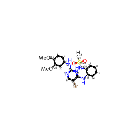 COc1ccc(Nc2ncc(Br)c(Nc3ccccc3NS(C)(=O)=O)n2)cc1OC